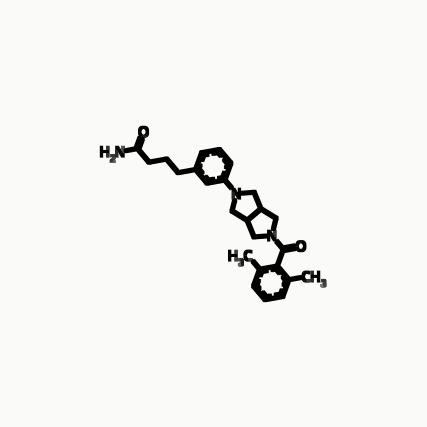 Cc1cccc(C)c1C(=O)N1CC2CN(c3cccc(CCCC(N)=O)c3)CC2C1